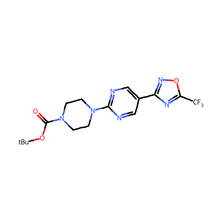 CC(C)(C)OC(=O)N1CCN(c2ncc(-c3noc(C(F)(F)F)n3)cn2)CC1